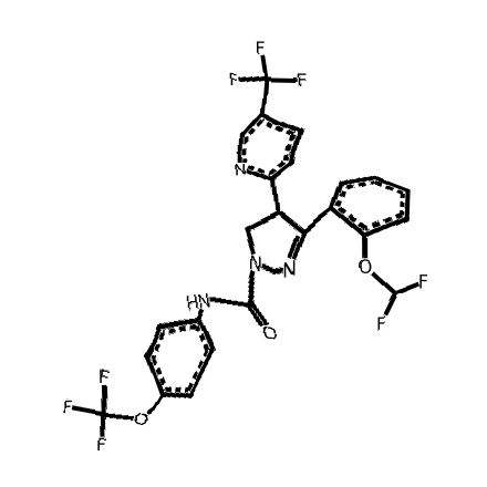 O=C(Nc1ccc(OC(F)(F)F)cc1)N1CC(c2ccc(C(F)(F)F)cn2)C(c2ccccc2OC(F)F)=N1